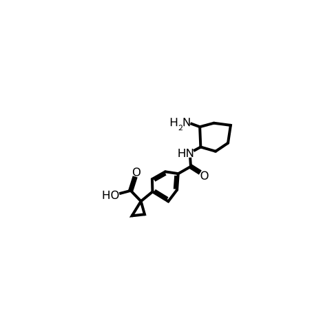 NC1CCCCC1NC(=O)c1ccc(C2(C(=O)O)CC2)cc1